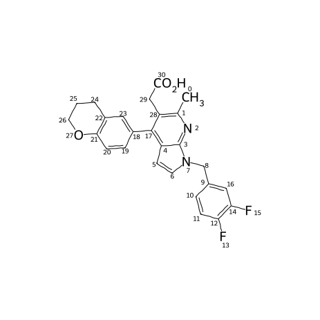 Cc1nc2c(ccn2Cc2ccc(F)c(F)c2)c(-c2ccc3c(c2)CCCO3)c1CC(=O)O